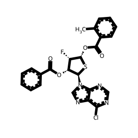 Cc1ccccc1C(=O)O[C@@H]1S[C@@H](n2cnc3c(Cl)ncnc32)[C@H](OC(=O)c2ccccc2)[C@@H]1F